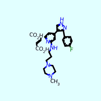 CN1CCN(CCCNc2cc(-c3c[nH]nc3-c3ccc(F)cc3)ccn2)CC1.O=C(O)C=CC(=O)O